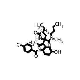 CCCCN(C)C(=O)C(CCCC)(NC(C)=O)c1c(C)n(C(=O)c2ccc(Cl)cc2)c2ccc(O)cc12